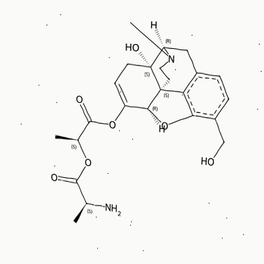 C[C@H](N)C(=O)O[C@@H](C)C(=O)OC1=CC[C@@]2(O)[C@H]3Cc4ccc(CO)c5c4[C@@]2(CCN3C)[C@H]1O5